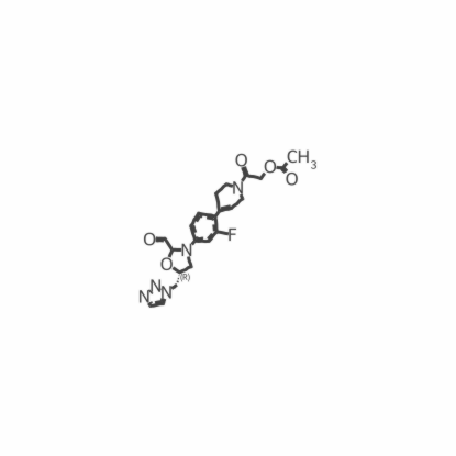 CC(=O)OCC(=O)N1CC=C(c2ccc(N3C[C@H](Cn4ccnn4)OC3C=O)cc2F)CC1